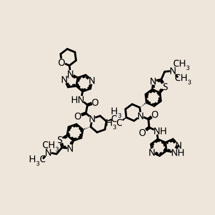 C[C@H]1CC[C@H](c2ccc3sc(CN(C)C)nc3c2)N(C(=O)C(=O)Nc2cncc3[nH]ncc23)C1.C[C@H]1CC[C@H](c2ccc3sc(CN(C)C)nc3c2)N(C(=O)C(=O)Nc2cncc3c2cnn3C2CCCCO2)C1